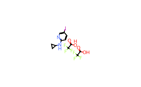 Ic1ccc(NC2CC2)nc1.O=C(O)C(F)(F)F.O=C(O)C(F)(F)F